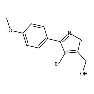 COc1ccc(-c2nsc(CO)c2Br)cc1